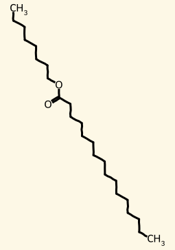 CCCCCCCCCCCCCCCC(=O)OCCCCCCCC